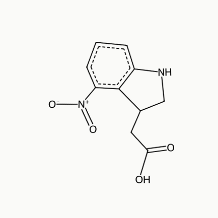 O=C(O)CC1CNc2cccc([N+](=O)[O-])c21